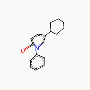 O=c1ccc(C2CCCCC2)cn1-c1ccccc1